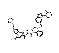 C[C@H]1CCCCN1c1nnc2ccc(O[C@@H]3CC[C@H](NC(=O)N/C(=C/C(=N)C(C)(C)C)Nc4cnn(CCN5CCCC5)c4)c4ccccc43)cn12